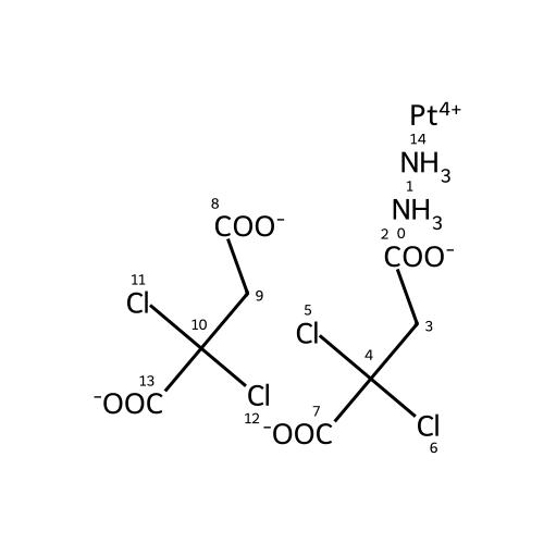 N.N.O=C([O-])CC(Cl)(Cl)C(=O)[O-].O=C([O-])CC(Cl)(Cl)C(=O)[O-].[Pt+4]